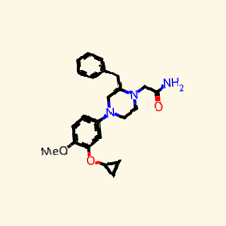 COc1ccc(N2CCN(CC(N)=O)C(Cc3ccccc3)C2)cc1OC1CC1